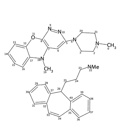 CN1CCN(c2cc3c(nn2)Oc2ccccc2N3C)CC1.CNCCCC1c2ccccc2C=Cc2ccccc21